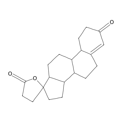 O=C1C=C2CCC3C(CCC4C3CCC43CCC(=O)O3)C2CC1